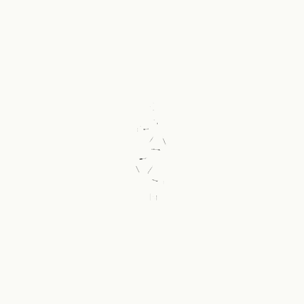 CCOC(=O)c1cccc(-c2cccc(C(=O)CBr)c2)c1